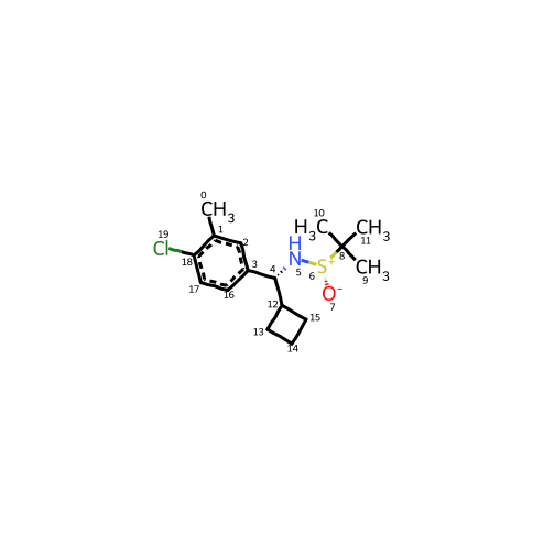 Cc1cc([C@H](N[S@@+]([O-])C(C)(C)C)C2CCC2)ccc1Cl